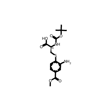 COC(=O)c1ccc(SC[C@H](NC(=O)OC(C)(C)C)C(=O)O)c(N)c1